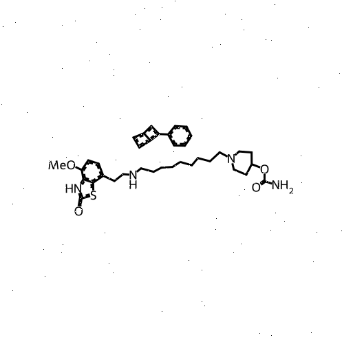 COc1ccc(CCNCCCCCCCCCN2CCC(OC(N)=O)CC2)c2sc(=O)[nH]c12.c1ccc(-c2cc3ccc2-3)cc1